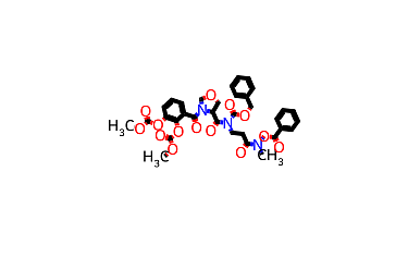 COC(=O)Oc1cccc(C(=O)N2COCC2C(=O)N(CCC(=O)N(C)OC(=O)c2ccccc2)C(=O)OCc2ccccc2)c1OC(=O)OC